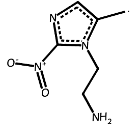 [CH2]c1cnc([N+](=O)[O-])n1CCN